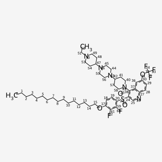 CCCCCCCCCCCCCCCCOc1ccc(S(=O)(=O)c2cnc3ccc(OC(F)(F)F)cc3c2N2CCC(N3CCN(C4CCN(CC)CC4)CC3)CC2)c(F)c1F